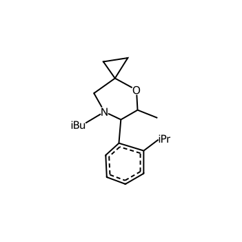 CCC(C)N1CC2(CC2)OC(C)C1c1ccccc1C(C)C